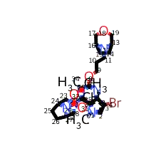 Cn1cc(Br)c2nc(OCCCN3C4CCC3COC4)nc(N3CC4CCC(C3)N4C(=O)OC(C)(C)C)c21